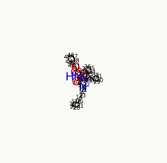 O=C(CC1NC(=O)C2(CCN(CCCCCc3ccccc3)CC2)N(CC(c2ccccc2)c2ccccc2)C1=O)OCc1ccccc1